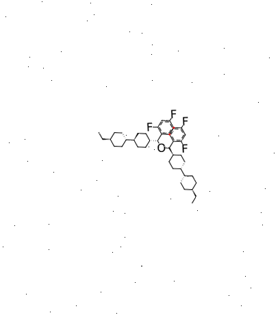 CC[C@H]1CC[C@H]([C@H]2CC[C@H](C(OC(c3ccc(F)cc3F)[C@H]3CC[C@H]([C@H]4CC[C@H](CC)CC4)CC3)c3ccc(F)cc3F)CC2)CC1